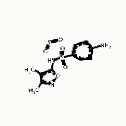 Cc1noc(NS(=O)(=O)c2ccc(N)cc2)c1C.O=S=O